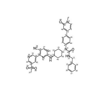 Cn1ccc(-c2ccc(N(C(=O)NCc3ccccc3)[C@H]3CC[C@H](Nc4ncc(C#N)c(-c5cncc(S(C)(=O)=O)c5)n4)CC3)cc2)cc1=O